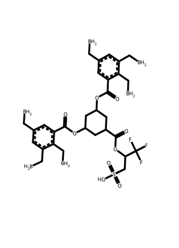 BCc1cc(CB)c(CB)c(C(=O)OC2CC(OC(=O)c3cc(CB)cc(CB)c3CB)CC(C(=O)OC(CS(=O)(=O)O)C(F)(F)F)C2)c1